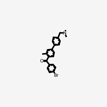 Cc1cc(-c2ccc(CN(C)C)cc2)ccc1C(=O)c1ccc(Br)cc1